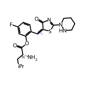 CC(C)C[C@@H](N)C(=O)Oc1cc(F)ccc1/C=C1/SC(N2CCCCN2)=NC1=O